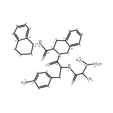 CC(C(=O)NC(Cc1ccc(N)cc1)C(=O)N1Cc2ccccc2CC1C(=O)N[C@@H]1CCCc2ccccc21)N(C)C(=O)O